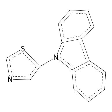 c1ccc2c(c1)c1ccccc1n2-c1cncs1